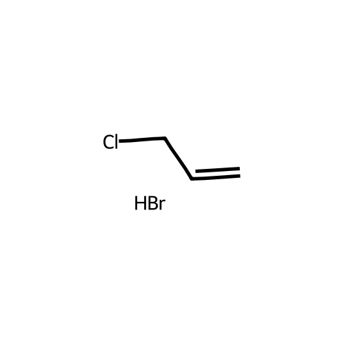 Br.C=CCCl